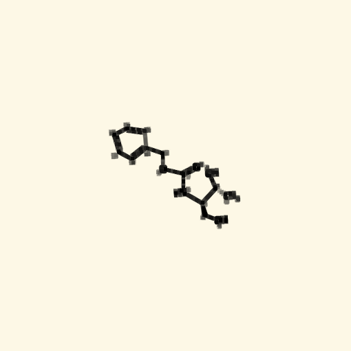 C[C@@H](O)[C@@H](CO)NC(=O)OCc1ccccc1